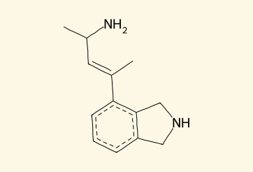 C/C(=C\C(C)N)c1cccc2c1CNC2